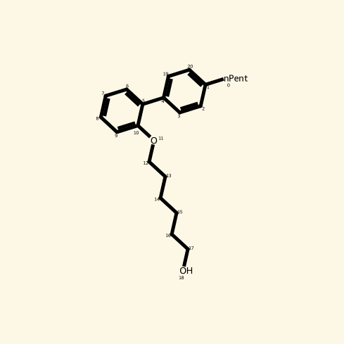 CCCCCc1ccc(-c2ccccc2OCCCCCCO)cc1